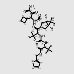 CC(C)(C)[C@H](NC(=O)N[C@H](C(=O)N1C[C@H]2[C@@H]([C@H]1C(=O)NC(C(=O)C(N)=O)C1CCC1)C2(C)C)C(C)(C)C)C(=O)OCc1ccco1